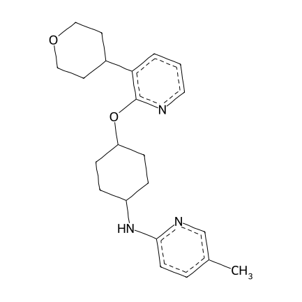 Cc1ccc(NC2CCC(Oc3ncccc3C3CCOCC3)CC2)nc1